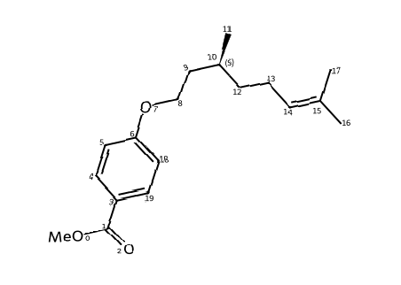 COC(=O)c1ccc(OCC[C@@H](C)CCC=C(C)C)cc1